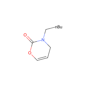 CCCCCN1CC=COC1=O